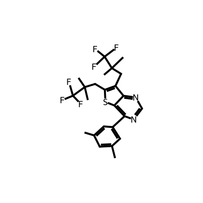 Cc1cc(C)cc(-c2ncnc3c(CC(C)(C)C(F)(F)F)c(CC(C)(C)C(F)(F)F)sc23)c1